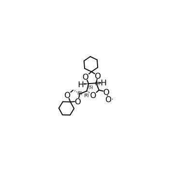 [O]OC1O[C@H]([C@H]2COC3(CCCCC3)O2)[C@@H]2OC3(CCCCC3)O[C@H]12